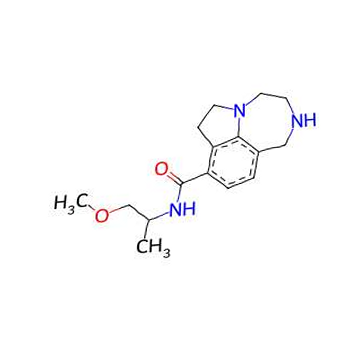 COCC(C)NC(=O)c1ccc2c3c1CCN3CCNC2